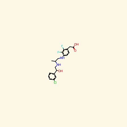 CC(CNc1ccc(CC(=O)O)c(F)c1F)NCC(O)c1cccc(Cl)c1